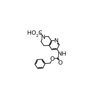 O=C(Nc1cnc2c(c1)CCN(C(=O)O)C2)OCc1ccccc1